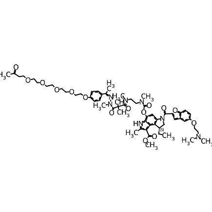 CC[C@@H]1CN(C(=O)c2cc3cc(OCCN(C)C)ccc3o2)c2cc(OC(=O)N(C)CCN(C)C(=O)C(C)(C)C(=O)N(C)N=C(C)c3ccc(OCCOCCOCCOCCOCCC(C)=O)cc3)c3[nH]c(C)c(C(=O)OC)c3c21